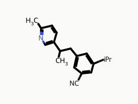 Cc1ccc(C(C)Cc2cc(C#N)cc(C(C)C)c2)cn1